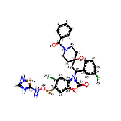 O=C(c1ccccc1)N1CCC2(CC1)CC(n1c(=O)oc3cc(SONc4ncns4)c(F)cc31)c1cc(F)ccc1O2